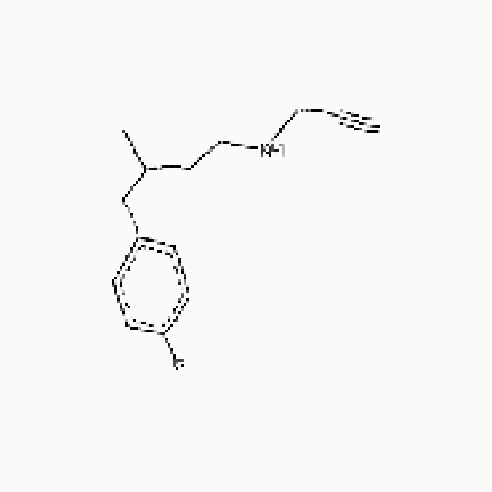 C#CCNCCC(C)Cc1ccc(F)cc1